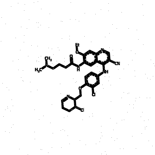 CCOc1cc2ncc(C#N)c(Nc3ccc(OCC4N=CCCC4Cl)c(Cl)c3)c2cc1NC(=O)CCCN(C)C